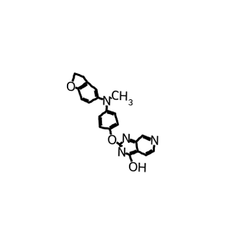 CN(c1ccc(Oc2nc(O)c3ccncc3n2)cc1)c1ccc2c(c1)CCO2